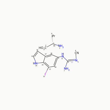 CC(C)[C@H](N)C(=O)O.N#C/N=C(/N)Nc1cc(I)c2[nH]ccc2c1